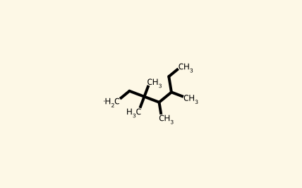 [CH2]CC(C)(C)C(C)C(C)CC